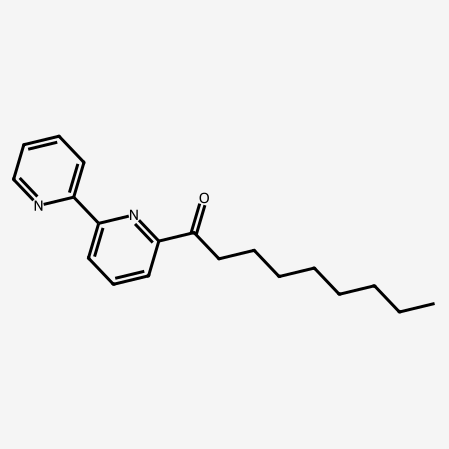 CCCCCCCCC(=O)c1cccc(-c2ccccn2)n1